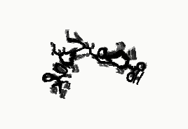 CCc1cc(C(CC)CCc2cc3cc(C(=O)O)ccc3o2)ccc1OCC(=O)C(C)(C)C